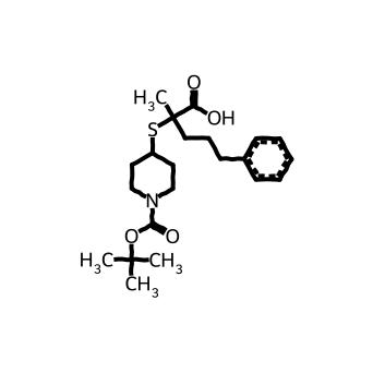 CC(C)(C)OC(=O)N1CCC(SC(C)(CCCc2ccccc2)C(=O)O)CC1